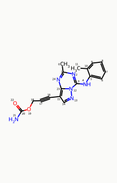 Cc1nc(Nc2ccccc2C)n2ncc(C#CCOC(N)=O)c2n1